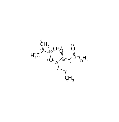 C=C(C)C(=O)OC(CCC)C(=O)CC(C)=O